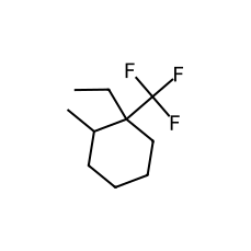 CCC1(C(F)(F)F)CCCCC1C